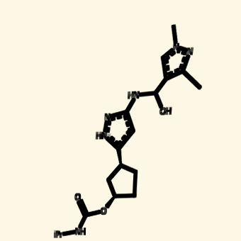 Cc1nn(C)cc1C(O)Nc1cc([C@H]2CC[C@@H](OC(=O)NC(C)C)C2)[nH]n1